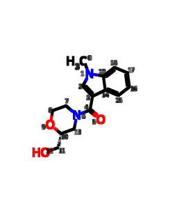 Cn1cc(C(=O)N2CCO[C@@H](CO)C2)c2ccccc21